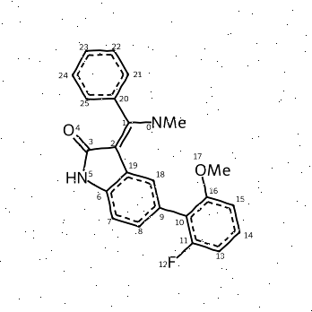 CN/C(=C1/C(=O)Nc2ccc(-c3c(F)cccc3OC)cc21)c1ccccc1